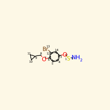 NSOc1ccc(OCC2CC2)c(Br)c1